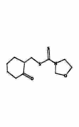 O=C1CCCCC1CSC(=S)N1CCOC1